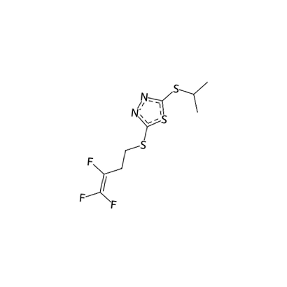 CC(C)Sc1nnc(SCCC(F)=C(F)F)s1